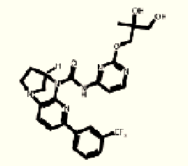 CC(O)(CO)COc1nccc(NC(=O)N2c3nc(-c4cccc(C(F)(F)F)c4)ccc3N3CC[C@H]2C3)n1